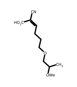 COC(C)COCCCC=C(C#N)C(=O)O